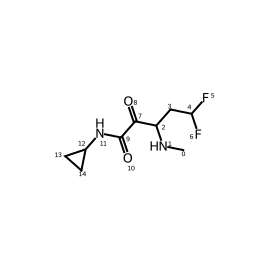 CNC(CC(F)F)C(=O)C(=O)NC1CC1